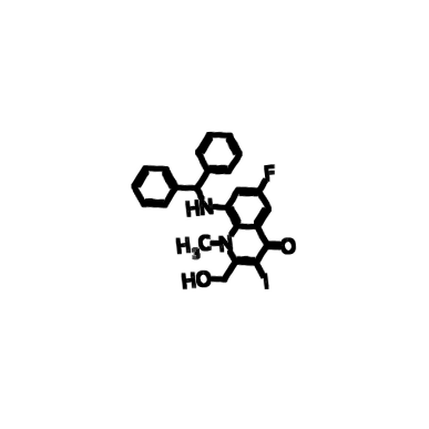 Cn1c(CO)c(I)c(=O)c2cc(F)cc(NC(c3ccccc3)c3ccccc3)c21